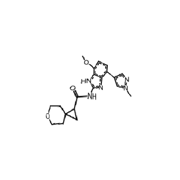 COc1ccc(-c2cnn(C)c2)c2nc(NC(=O)C3CC34CCOCC4)[nH]c12